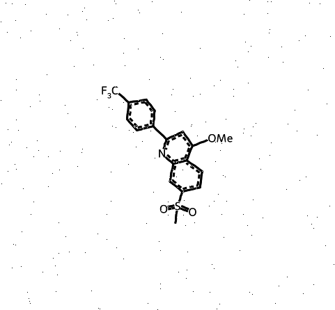 COc1cc(-c2ccc(C(F)(F)F)cc2)nc2cc(S(C)(=O)=O)ccc12